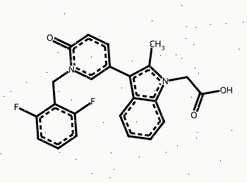 Cc1c(-c2ccc(=O)n(Cc3c(F)cccc3F)c2)c2ccccc2n1CC(=O)O